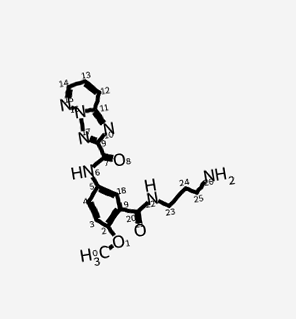 COc1ccc(NC(=O)c2nc3cccnn3n2)cc1C(=O)NCCCN